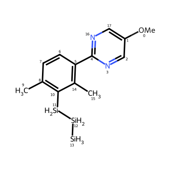 COc1cnc(-c2ccc(C)c([SiH2][SiH2][SiH3])c2C)nc1